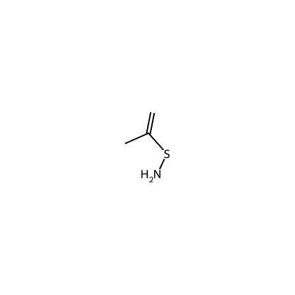 C=C(C)SN